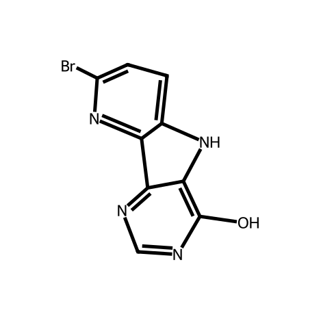 Oc1ncnc2c1[nH]c1ccc(Br)nc12